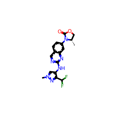 C[C@H]1COC(=O)N1c1ccc2cnc(Nc3cn(C)nc3C(F)F)nc2c1